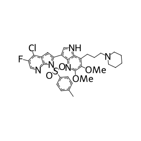 COc1nc2c(-c3cc4c(Cl)c(F)cnc4n3S(=O)(=O)c3ccc(C)cc3)c[nH]c2c(CCCN2CCCCC2)c1OC